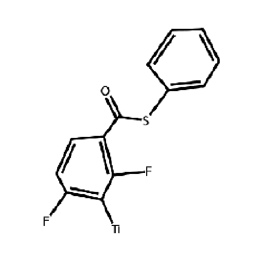 O=C(Sc1ccccc1)c1ccc(F)[c]([Ti])c1F